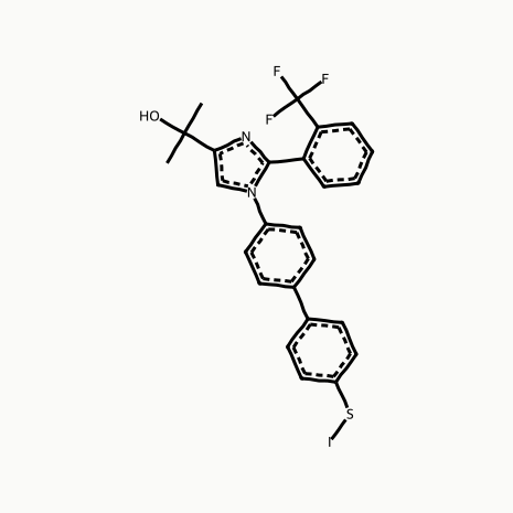 CC(C)(O)c1cn(-c2ccc(-c3ccc(SI)cc3)cc2)c(-c2ccccc2C(F)(F)F)n1